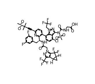 CC(C)(C#Cc1ccc(-c2ccc(Cl)c3c(N(C(=O)NCC(=O)O)S(C)(=O)=O)nn(CC(F)(F)F)c23)c([C@H](Cc2cc(F)cc(F)c2)NC(=O)Cn2nc(C(F)(F)F)c3c2C(F)(F)[C@@H]2C[C@H]32)n1)S(C)(=O)=O